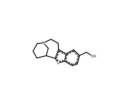 OCc1ccc2oc3c(c2c1)CCN1CCCC3C1